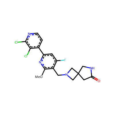 COc1nc(-c2ccnc(Cl)c2Cl)cc(F)c1CN1CC2(CNC(=O)C2)C1